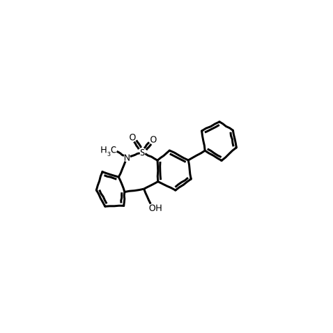 CN1c2ccccc2C(O)c2ccc(-c3ccccc3)cc2S1(=O)=O